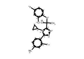 CC(C)(Oc1ccc(F)cc1Cl)c1nnc(-c2ccc(C#N)cc2F)n1C1CC1